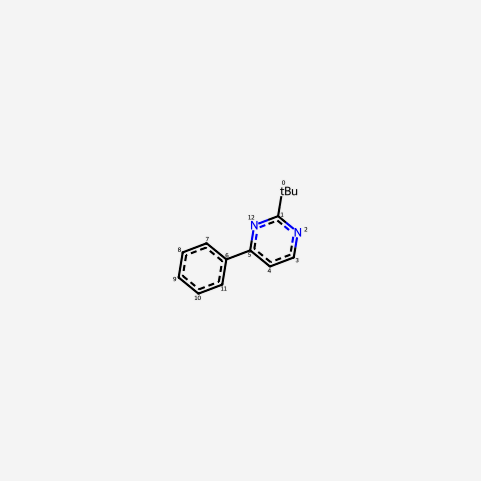 CC(C)(C)c1nccc(-c2ccccc2)n1